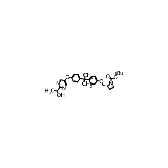 CC(O)c1ncc(Oc2ccc(C(C)(C)c3ccc(OC[C@@H]4CCN4C(=O)OC(C)(C)C)cc3)cc2)cn1